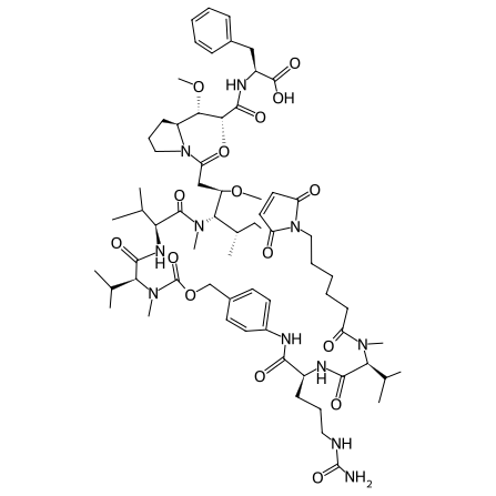 CC[C@H](C)[C@@H]([C@@H](CC(=O)N1CCC[C@H]1[C@H](OC)[C@@H](C)C(=O)N[C@@H](Cc1ccccc1)C(=O)O)OC)N(C)C(=O)[C@@H](NC(=O)[C@H](C(C)C)N(C)C(=O)OCc1ccc(NC(=O)[C@H](CCCNC(N)=O)NC(=O)[C@H](C(C)C)N(C)C(=O)CCCCCN2C(=O)C=CC2=O)cc1)C(C)C